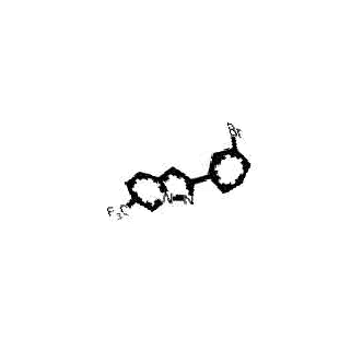 FC(F)(F)c1ccc2cc(-c3cccc(Br)c3)nn2c1